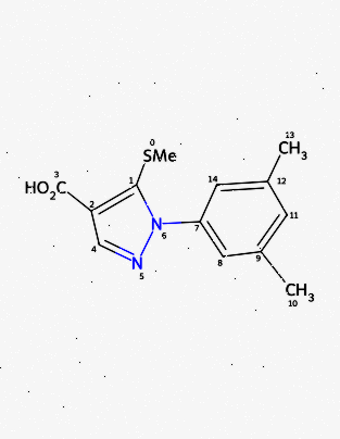 CSc1c(C(=O)O)cnn1-c1cc(C)cc(C)c1